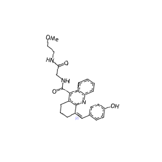 COCCNC(=O)CNC(=O)c1c2c(nc3ccccc13)/C(=C\c1ccc(O)cc1)CCC2